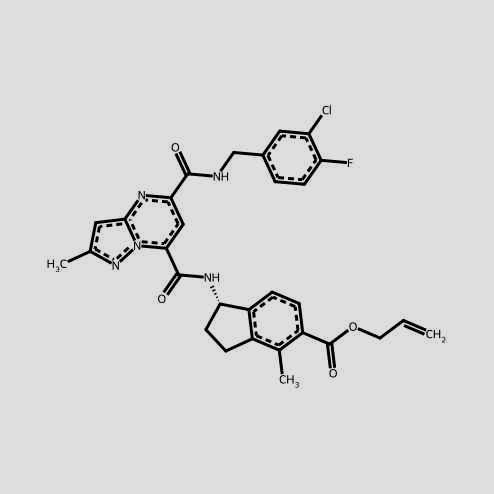 C=CCOC(=O)c1ccc2c(c1C)CC[C@@H]2NC(=O)c1cc(C(=O)NCc2ccc(F)c(Cl)c2)nc2cc(C)nn12